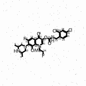 COc1c(N2CC(C)NC(C)C2)c(F)cc2c(=O)c(OC(=O)NCc3ccc(Cl)cc3Cl)cn(CCF)c12